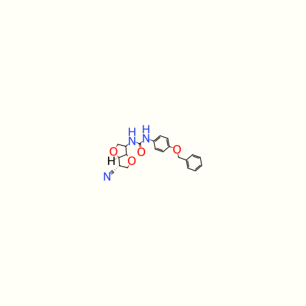 N#C[C@H]1COC2C(NC(=O)Nc3ccc(OCc4ccccc4)cc3)CO[C@@H]21